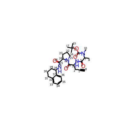 C#CCC(NC(=O)C(C)N(C)C(=O)OC(C)(C)C)C(=O)N1CCCC1C(=O)NC1CCCc2ccccc21